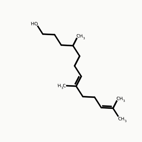 CC(C)=CCCC(C)=CCCC(C)CCCO